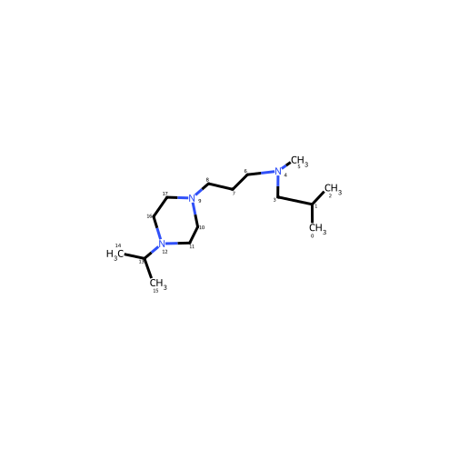 CC(C)CN(C)CCCN1CCN(C(C)C)CC1